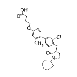 Cc1cc(OCCCC(=O)O)ccc1-c1ccc(CC2CCN(C3CCCCC3)C2=O)c(Cl)c1